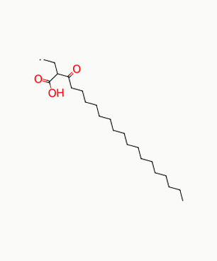 [CH2]CC(C(=O)O)C(=O)CCCCCCCCCCCCCCCCC